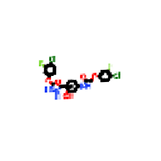 O=C(COc1ccc(Cl)c(F)c1)NC12CCC(C3NNC(Oc4ccc(Cl)c(F)c4)O3)(CC1)C(O)C2